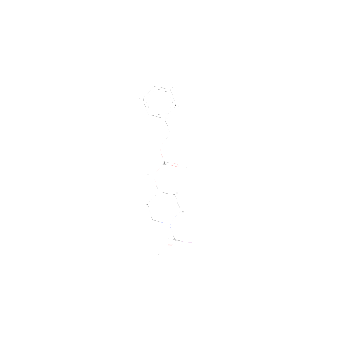 O=C(OCc1ccccc1)OC1CCN(C(=O)I)CC1